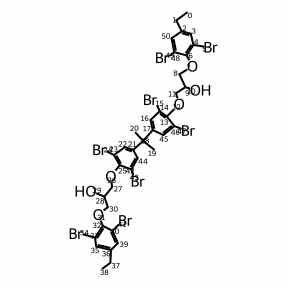 CCc1cc(Br)c(OCC(O)COc2c(Br)cc(C(C)(C)c3cc(Br)c(OCC(O)COc4c(Br)cc(CC)cc4Br)c(Br)c3)cc2Br)c(Br)c1